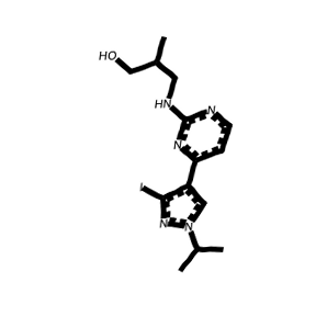 CC(CO)CNc1nccc(-c2cn(C(C)C)nc2I)n1